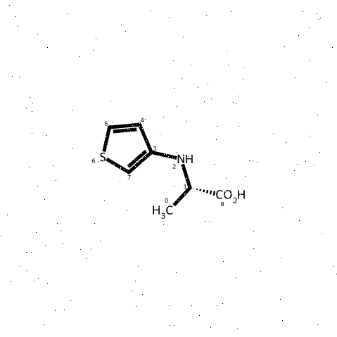 C[C@H](Nc1ccsc1)C(=O)O